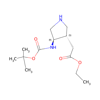 CCOC(=O)C[C@H]1CNC[C@@H]1NC(=O)OC(C)(C)C